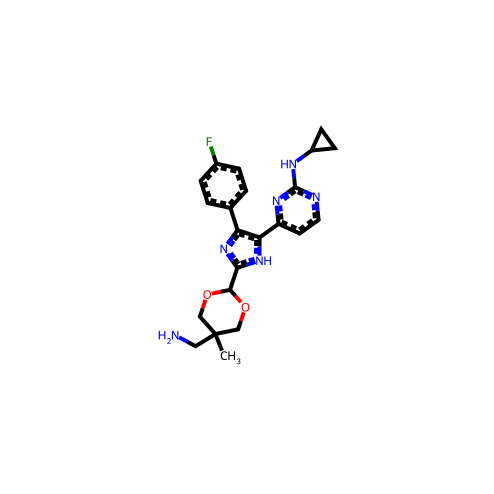 CC1(CN)COC(c2nc(-c3ccc(F)cc3)c(-c3ccnc(NC4CC4)n3)[nH]2)OC1